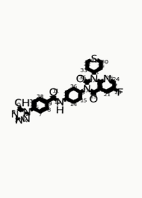 Cc1nnnn1-c1ccc(C(=O)NC2CCC(n3c(=O)c4cc(F)cnc4n(C4CCSCC4)c3=O)CC2)cc1